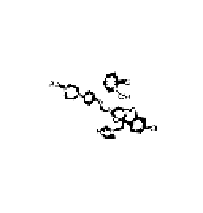 CC(=O)N1CCN(c2ccc(OC[C@H]3CO[C@](Cn4ccnc4)(c4ccc(Cl)cc4Cl)O3)cc2)CC1.On1ccccc1=S